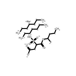 CCCC(F)OC(=O)C(CC(=O)[O-])S(=O)(=O)O.CCCCCCC.CCCCCCC.[Na+]